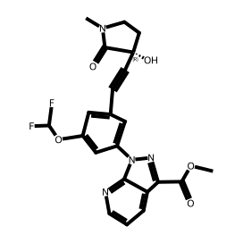 COC(=O)c1nn(-c2cc(C#C[C@]3(O)CCN(C)C3=O)cc(OC(F)F)c2)c2ncccc12